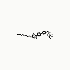 CCCCCCCCCCc1cnc(-c2ccc(-c3ccc(C[C@@H](C)OC(=O)CC)cc3)cc2)nc1